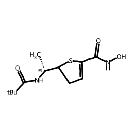 C[C@@H](NC(=O)C(C)(C)C)C1CC=C(C(=O)NO)S1